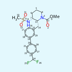 COC(=O)N1CCC[C@@H](NS(C)(=O)=O)[C@H]1Cc1cccc(-c2ccc(C(F)F)cc2)c1